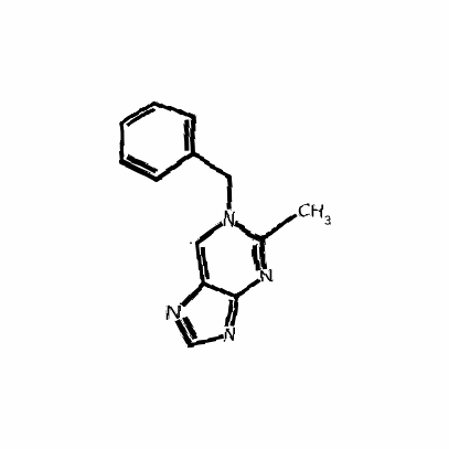 Cc1nc2ncnc-2[c]n1Cc1ccccc1